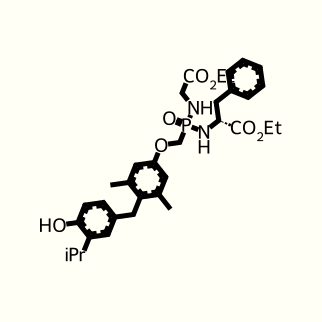 CCOC(=O)CNP(=O)(COc1cc(C)c(Cc2ccc(O)c(C(C)C)c2)c(C)c1)N[C@H](Cc1ccccc1)C(=O)OCC